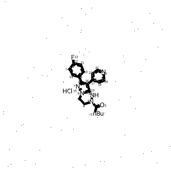 CCCCC(=O)N1CCn2nc(-c3ccc(F)cc3)c(-c3ccncc3)c2N1.Cl